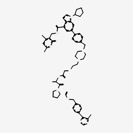 Cc1cc(C)c(CNC(=O)c2cc(-c3ccc(CN4CCN(CCOCC(=O)NC(C(=O)N5CCC[C@H]5C(=O)NCc5ccc(-c6scnc6C)cc5)C(C)(C)C)CC4)cc3)cc3c2ccn3C2CCCC2)c(=O)[nH]1